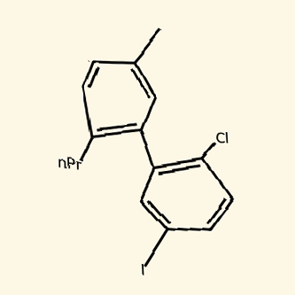 CCCc1c[c]c(C)cc1-c1cc(I)ccc1Cl